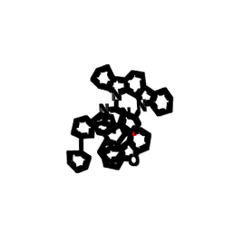 c1ccc(-c2ccc(-n3c4ccccc4c4ccc5c6ccccc6n(-c6nc(-c7cccc(-c8ccccc8)c7)nc(-c7cccc8oc9cccc(-c%10ccccc%10)c9c78)n6)c5c43)cc2)cc1